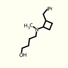 CC(C)CC1CCC1N(C)CCCCO